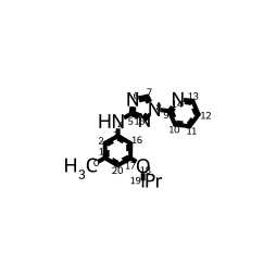 Cc1cc(Nc2ncn(-c3ccccn3)n2)cc(OC(C)C)c1